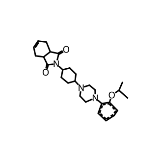 CC(C)Oc1ccccc1N1CCN(C2CCC(N3C(=O)C4CC=CCC4C3=O)CC2)CC1